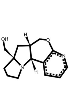 OC[C@]12CCCN1[C@H]1c3cccnc3OC[C@H]1C2